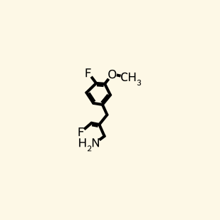 COc1cc(CC(=CF)CN)ccc1F